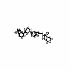 O=C(NCc1cc2nc(N3CCOC(c4cccc5[nH]ncc45)C3)ncc2s1)N1CCOCC1